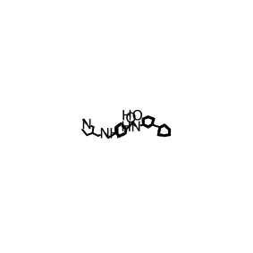 CN1CCC(CNCc2ccc(C(=O)Nc3cc(-c4ccccc4)ccc3O)cc2)C1